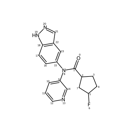 O=C(C1CCC(F)C1)N(c1cccnc1)c1ccc2[nH]ncc2c1